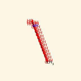 CC(=O)C(O)COCC(O)COCC(O)COCC(O)COCC(O)COCC(O)COCC(O)COCC(O)COCC(O)COCC(O)COCC(O)COCC(O)C(=O)NC[C@H](O)[C@@H](O)[C@H](O)[C@H](O)CO